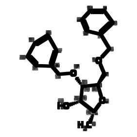 C[C@H]1O[C@H](COCc2ccccc2)[C@@H](OCc2ccccc2)[C@H]1O